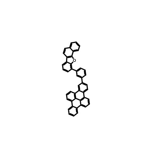 c1cc(-c2ccc3c(c2)c2cccc4c5ccccc5c5cccc3c5c42)cc(-c2cccc3c2oc2c4ccccc4ccc32)c1